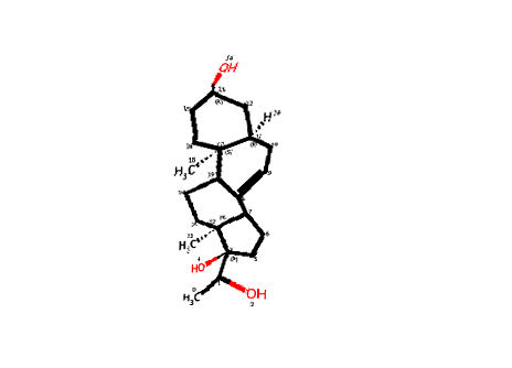 CC(O)[C@@]1(O)CCC2C3=CC[C@@H]4C[C@H](O)CC[C@]4(C)C3CC[C@@]21C